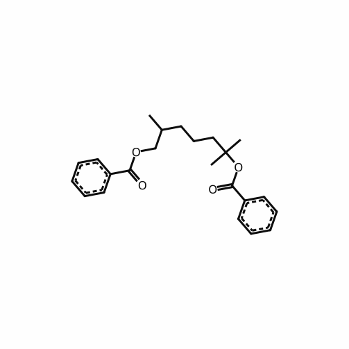 CC(CCCC(C)(C)OC(=O)c1ccccc1)COC(=O)c1ccccc1